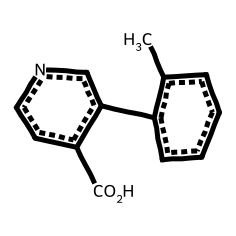 Cc1ccccc1-c1cnccc1C(=O)O